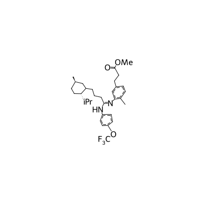 COC(=O)CCc1ccc(C)c(/N=C(\CCCC2C[C@H](C)CC[C@H]2C(C)C)Nc2ccc(OC(F)(F)F)cc2)c1